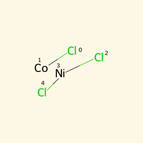 [Cl][Co].[Cl][Ni][Cl]